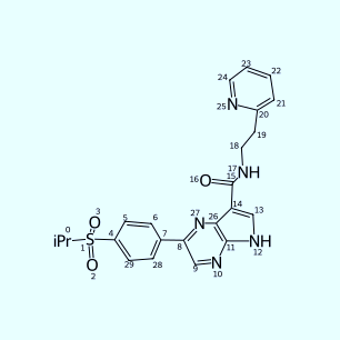 CC(C)S(=O)(=O)c1ccc(-c2cnc3[nH]cc(C(=O)NCCc4ccccn4)c3n2)cc1